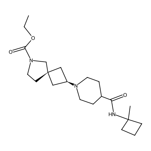 CCOC(=O)N1CC[C@]2(C1)C[C@H](N1CCC(C(=O)NC3(C)CCC3)CC1)C2